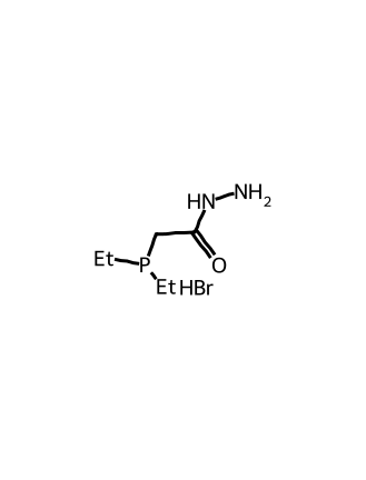 Br.CCP(CC)CC(=O)NN